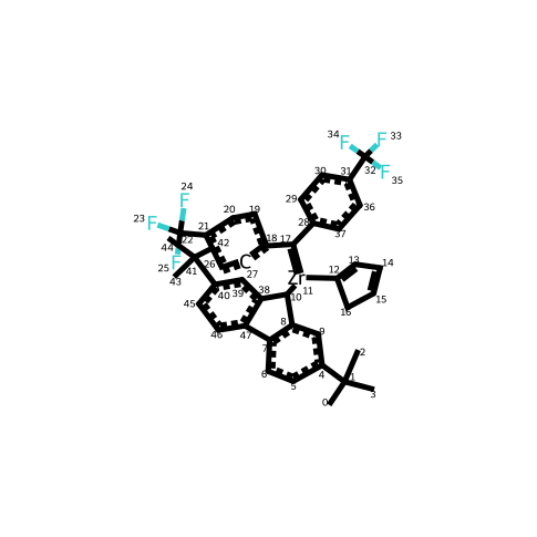 CC(C)(C)c1ccc2c(c1)[CH]([Zr]([C]1=CC=CC1)=[C](c1ccc(C(F)(F)F)cc1)c1ccc(C(F)(F)F)cc1)c1cc(C(C)(C)C)ccc1-2